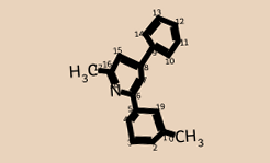 Cc1cccc(-c2cc(-c3ccccc3)cc(C)n2)c1